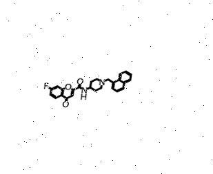 O=C(NC1CCN(Cc2cccc3ccccc23)CC1)c1cc(=O)c2ccc(F)cc2o1